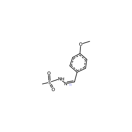 COc1ccc(/C=N\NS(C)(=O)=O)cc1